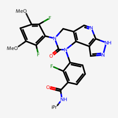 COc1cc(OC)c(F)c(N2Cc3cnc4[nH]ncc4c3N(c3cccc(C(=O)NC(C)C)c3F)C2=O)c1F